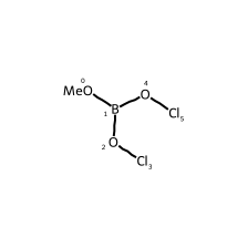 COB(OCl)OCl